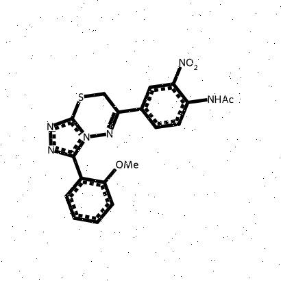 COc1ccccc1-c1nnc2n1N=C(c1ccc(NC(C)=O)c([N+](=O)[O-])c1)CS2